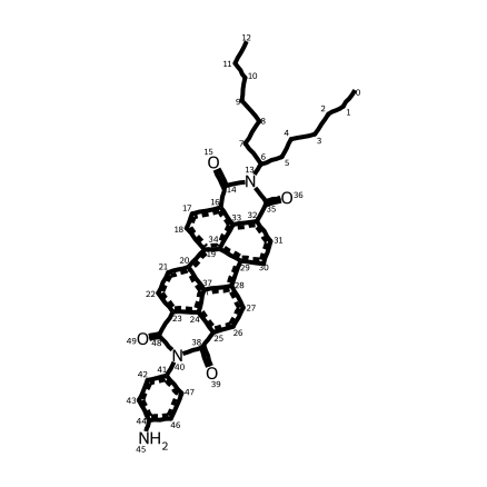 CCCCCCC(CCCCCC)N1C(=O)c2ccc3c4ccc5c6c(ccc(c7ccc(c2c37)C1=O)c64)C(=O)N(c1ccc(N)cc1)C5=O